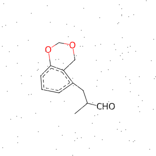 CC(C=O)Cc1cccc2c1COCO2